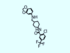 O=C(NC1CCC(CNc2ccc3c(c2)OCO3)CC1)c1cc(C(F)(F)F)ccc1Cl